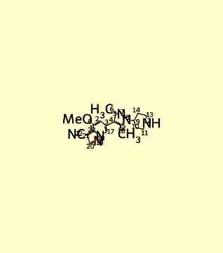 COc1cc(-c2c(C)nn(C3CCNCC3)c2C)cn2ncc(C#N)c12